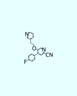 N#Cc1cc(-c2ccc(F)cc2)c(OCCc2cccnc2)cn1